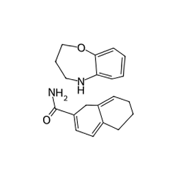 NC(=O)C1=CC=C2CCCC=C2C1.c1ccc2c(c1)NCCCO2